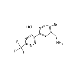 Cl.NCc1cc(-c2cnc(C(F)(F)F)nc2)ncc1Br